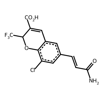 NC(=O)C=Cc1cc(Cl)c2c(c1)C=C(C(=O)O)C(C(F)(F)F)O2